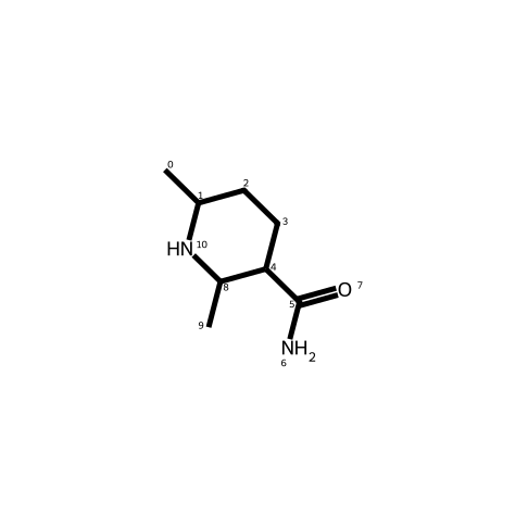 CC1CCC(C(N)=O)C(C)N1